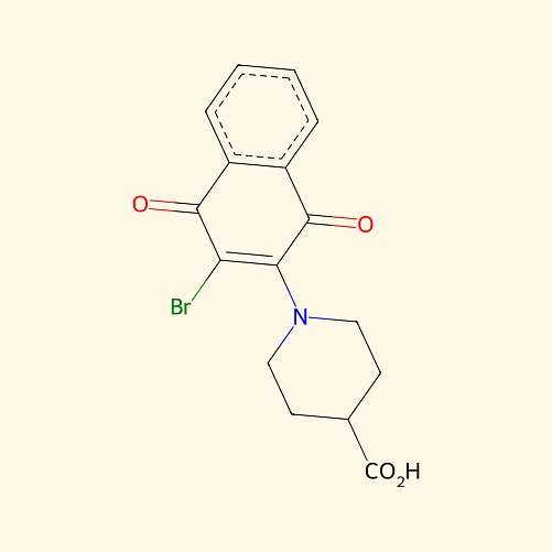 O=C1C(Br)=C(N2CCC(C(=O)O)CC2)C(=O)c2ccccc21